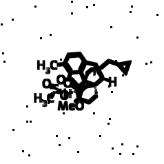 COC12CC[C@@]3(C[C@@H]1COS(C)(=O)=O)[C@H]1Cc4ccc(C)c5c4[C@@]3(CCN1CC1CC1)C2O5